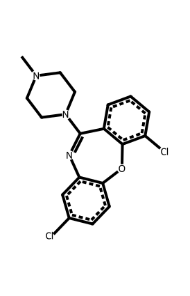 CN1CCN(C2=Nc3cc(Cl)ccc3Oc3c(Cl)cccc32)CC1